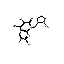 CN1CCCC1Cn1c(=O)c(C#N)c(O)c2cc(F)c(Cl)nc21